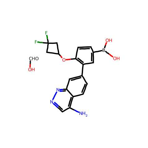 Nc1cnnc2cc(-c3cc(B(O)O)ccc3OC3CC(F)(F)C3)ccc12.O=CO